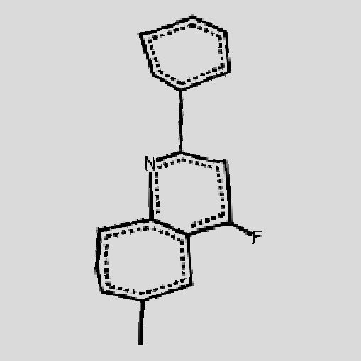 Cc1ccc2nc(-c3ccccc3)cc(F)c2c1